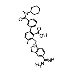 Cc1ccc(-c2cccc(C(=O)N(C)C3CCCCC3)c2)c(C(=O)O)c1CN1CCc2cc(C(=N)N)ccc21